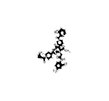 C[C@H]1OC2(CCN(C(=O)c3ncccc3O)CC2)c2c1n(CC(=O)Nc1ccc(C(F)(F)F)cc1Cl)c1nc(C3=CCN(C(=O)C4CC4C(F)(F)F)CC3)nn1c2=O